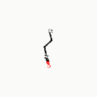 CCC[CH2][Zr]=[O]